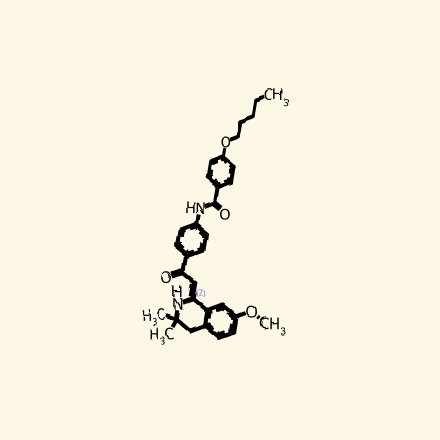 CCCCCOc1ccc(C(=O)Nc2ccc(C(=O)/C=C3\NC(C)(C)Cc4ccc(OC)cc43)cc2)cc1